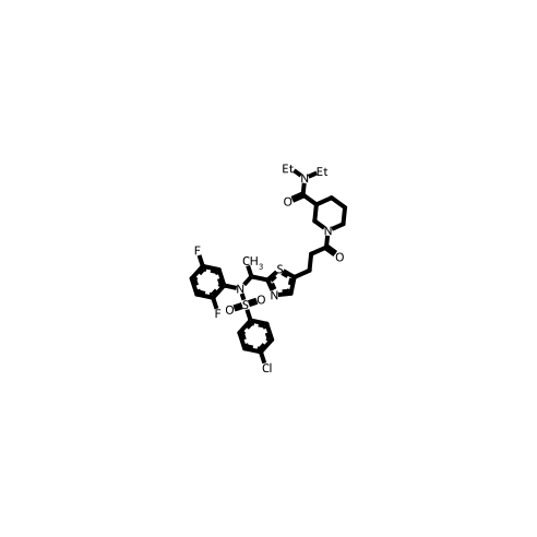 CCN(CC)C(=O)C1CCCN(C(=O)CCc2cnc(C(C)N(c3cc(F)ccc3F)S(=O)(=O)c3ccc(Cl)cc3)s2)C1